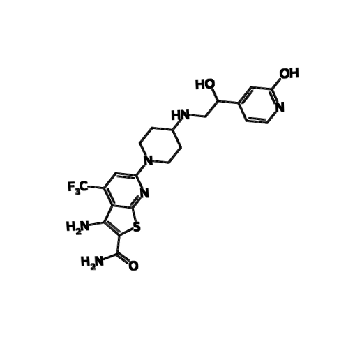 NC(=O)c1sc2nc(N3CCC(NCC(O)c4ccnc(O)c4)CC3)cc(C(F)(F)F)c2c1N